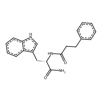 NC(=O)[C@H](Cc1c[nH]c2ccccc12)NC(=O)[CH]Cc1ccccc1